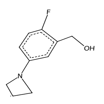 OCc1cc(N2C[CH]C2)ccc1F